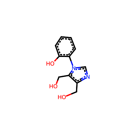 OCc1ncn(-c2ccccc2O)c1CO